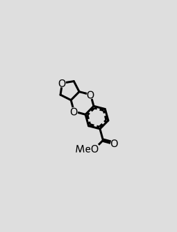 COC(=O)c1ccc2c(c1)OC1COCC1O2